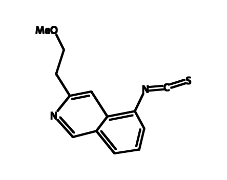 COCCc1cc2c(N=C=S)cccc2cn1